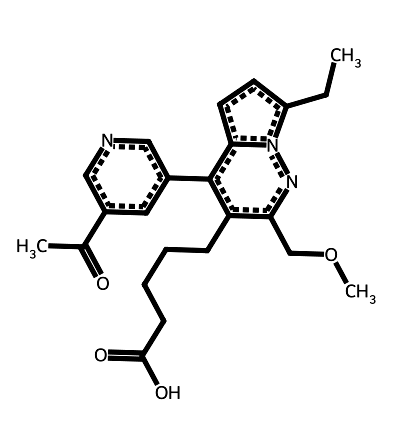 CCc1ccc2c(-c3cncc(C(C)=O)c3)c(CCCCC(=O)O)c(COC)nn12